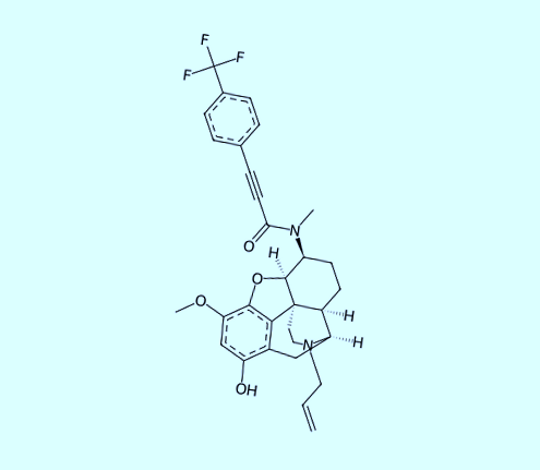 C=CCN1CC[C@]23c4c5c(O)cc(OC)c4O[C@H]2[C@@H](N(C)C(=O)C#Cc2ccc(C(F)(F)F)cc2)CC[C@H]3[C@H]1C5